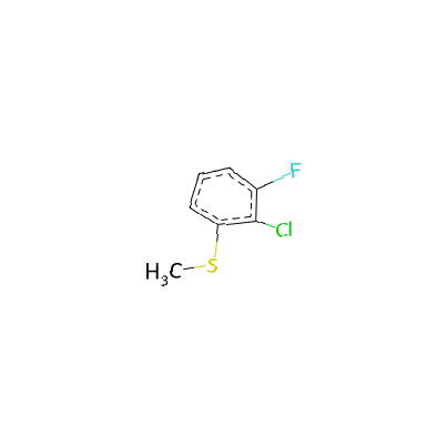 CSc1cccc(F)c1Cl